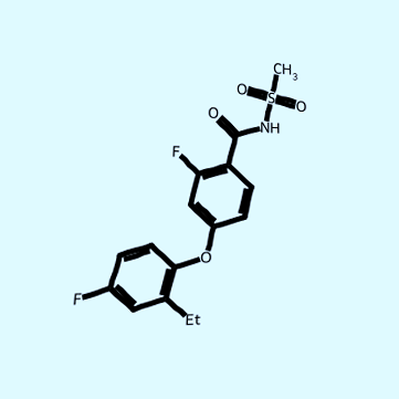 CCc1cc(F)ccc1Oc1ccc(C(=O)NS(C)(=O)=O)c(F)c1